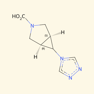 O=C(O)N1C[C@@H]2C(n3cnnc3)[C@@H]2C1